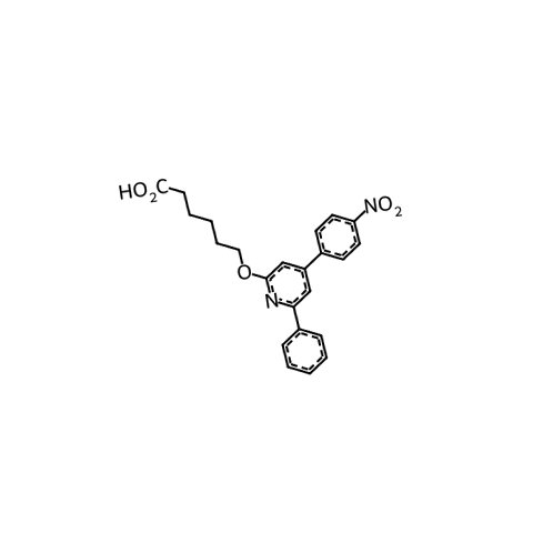 O=C(O)CCCCCOc1cc(-c2ccc([N+](=O)[O-])cc2)cc(-c2ccccc2)n1